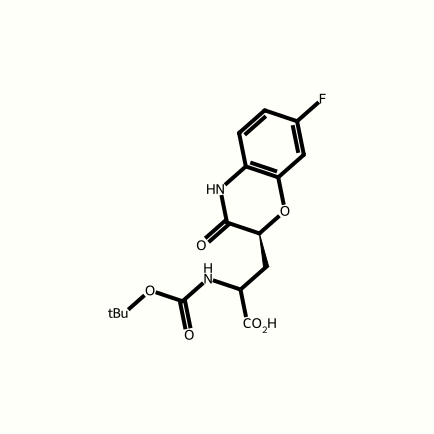 CC(C)(C)OC(=O)NC(C[C@@H]1Oc2cc(F)ccc2NC1=O)C(=O)O